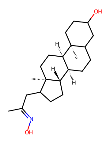 CC(CC1CC[C@H]2[C@@H]3CCC4CC(O)CC[C@]4(C)[C@@H]3CC[C@]12C)=NO